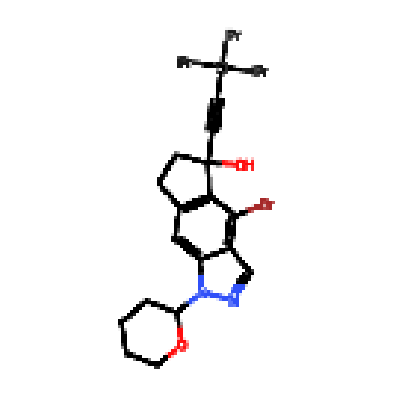 CC(C)[Si](C#CC1(O)CCc2cc3c(cnn3C3CCCCO3)c(Br)c21)(C(C)C)C(C)C